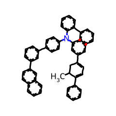 CC1CC(c2cccc(N(c3ccc(-c4cccc(-c5ccc6ccccc6c5)c4)cc3)c3ccccc3-c3ccccc3)c2)=CC=C1c1ccccc1